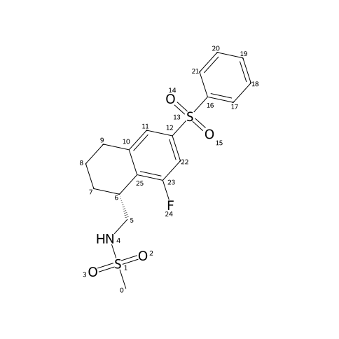 CS(=O)(=O)NC[C@@H]1CCCc2cc(S(=O)(=O)c3ccccc3)cc(F)c21